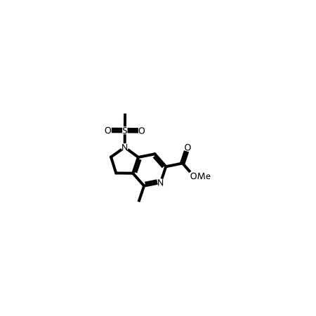 COC(=O)c1cc2c(c(C)n1)CCN2S(C)(=O)=O